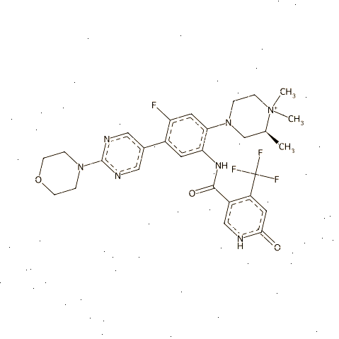 C[C@H]1CN(c2cc(F)c(-c3cnc(N4CCOCC4)nc3)cc2NC(=O)c2c[nH]c(=O)cc2C(F)(F)F)CC[N+]1(C)C